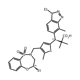 CC[C@@H]1CN(Cc2cc([C@@H](c3ccc4c(nnn4CC)c3C)C(C)(C)C(=O)O)sc2C)S(=O)(=O)c2ccccc2O1